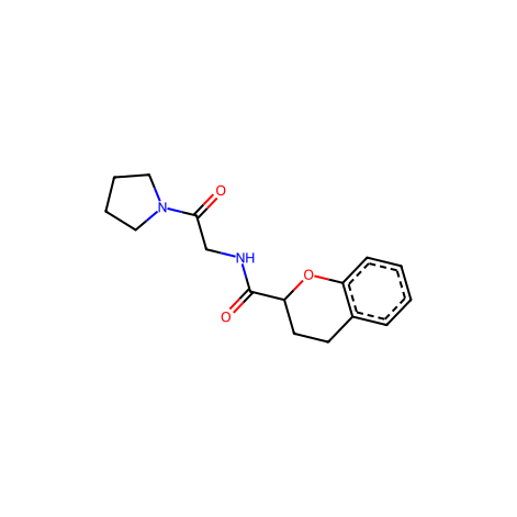 O=C(NCC(=O)N1CCCC1)C1CCc2ccccc2O1